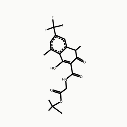 Cc1cc(C(F)(F)F)cc2c1C(O)=C(C(=O)NCC(=O)OC(C)(C)C)C(=O)C2C